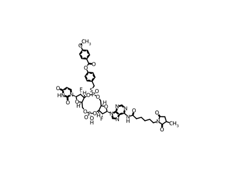 COc1ccc(C(=O)Oc2ccc(CSP3(=O)OC[C@H]4O[C@@H](n5cnc6c(NC(=O)CCCCCN7C(=O)CC(C)C7=O)ncnc65)[C@H](F)[C@@H]4OP(=O)(O)OC[C@H]4O[C@@H](n5ccc(=O)[nH]c5=O)[C@H](F)[C@@H]4O3)cc2)cc1